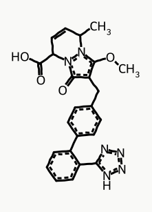 COc1c(Cc2ccc(-c3ccccc3-c3nnn[nH]3)cc2)c(=O)n2n1C(C)C=CC2C(=O)O